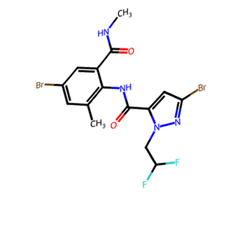 CNC(=O)c1cc(Br)cc(C)c1NC(=O)c1cc(Br)nn1CC(F)F